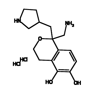 Cl.Cl.NCC1(CC2CCNC2)OCCc2c1ccc(O)c2O